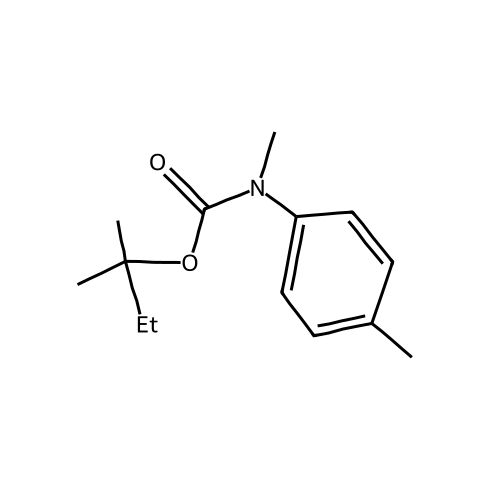 CCC(C)(C)OC(=O)N(C)c1ccc(C)cc1